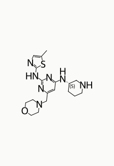 Cc1cnc(Nc2nc(CN3CCOCC3)cc(N[C@H]3CCCNC3)n2)s1